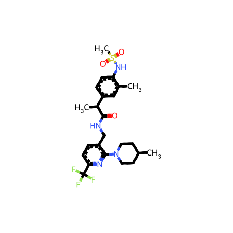 Cc1cc(C(C)C(=O)NCc2ccc(C(F)(F)F)nc2N2CCC(C)CC2)ccc1NS(C)(=O)=O